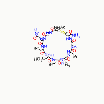 CC(=O)NC1CSSCC(C(N)=O)NC(=O)CNC(=O)C(CC(C)C)NC(=O)C(C)NC(=O)C(CC(C)C)NC(=O)C(CC(=O)O)NC(=O)C(CC(C)C)NC(=O)C(CCC(N)=O)NC(=O)CNC1=O